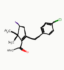 COC(=O)C1=C(Cc2ccc(Cl)cc2)CC(I)C1(C)C